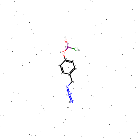 [N-]=[N+]=NCc1ccc(O[PH](=O)Cl)cc1